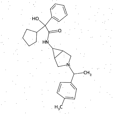 Cc1ccc(C(C)N2CC3C(C2)C3NC(=O)C(O)(c2ccccc2)C2CCCC2)cc1